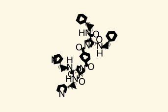 O=C(N[C@H]1C[C@@H]1c1ccccc1)[C@@H]1CN(C(=O)c2ccc(C(=O)N3C[C@@H](C(=O)N[C@H]4C[C@@H]4c4cccnc4)[C@H](C(=O)N[C@H]4C[C@@H]4c4cccnc4)C3)cc2)C[C@H]1C(=O)N[C@H]1C[C@@H]1c1ccccc1